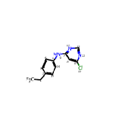 FC(F)(F)Cc1ccc(Nc2cc(Cl)ncn2)cc1